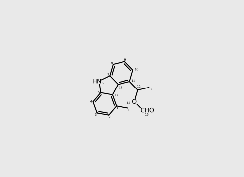 Cc1cccc2[nH]c3cccc(C(C)OC=O)c3c12